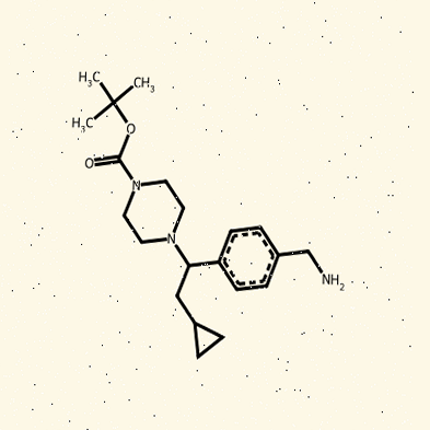 CC(C)(C)OC(=O)N1CCN(C(CC2CC2)c2ccc(CN)cc2)CC1